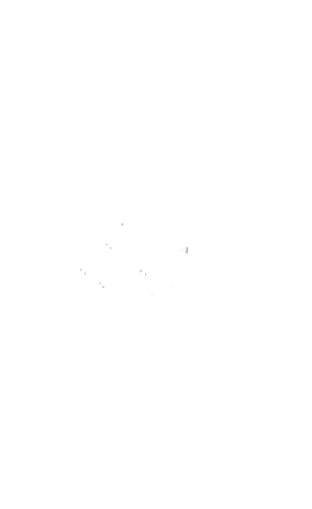 O=C(Nc1ccccc1)N(c1nncn1O)C(F)(F)F